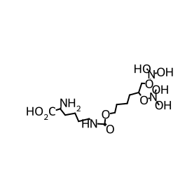 NC(CCCCNC(=O)OCCCCC(CON(O)O)ON(O)O)C(=O)O